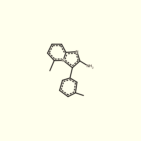 Cc1cccc(-c2c(N)nc3cccc(C)n23)c1